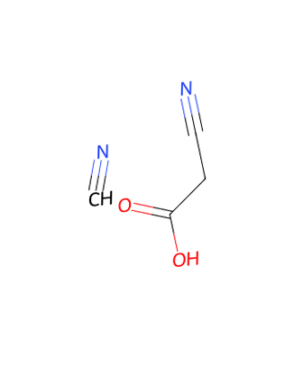 C#N.N#CCC(=O)O